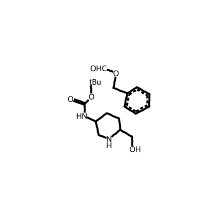 CC(C)(C)OC(=O)NC1CCC(CO)NC1.O=COCc1ccccc1